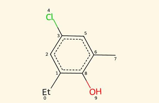 CCc1cc(Cl)cc(C)c1O